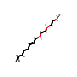 BOCCOCCOCC=CCCCC=C